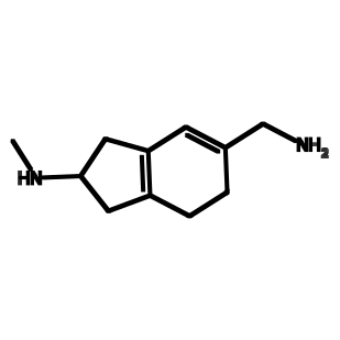 CNC1CC2=C(CCC(CN)=C2)C1